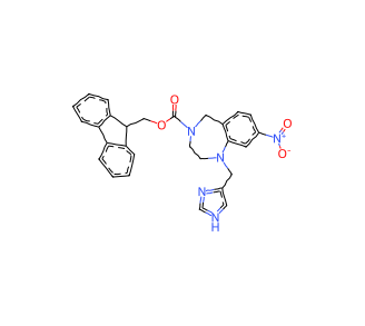 O=C(OCC1c2ccccc2-c2ccccc21)N1CCN(Cc2c[nH]cn2)c2cc([N+](=O)[O-])ccc2C1